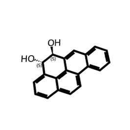 O[C@H]1c2cccc3ccc4c5ccccc5cc(c4c23)[C@@H]1O